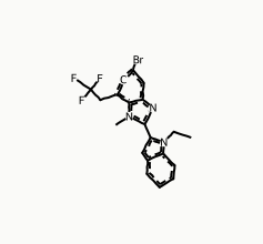 CCn1c(-c2nc3cc(Br)cc(CC(F)(F)F)c3n2C)cc2ccccc21